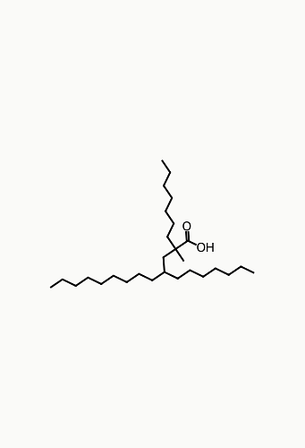 CCCCCCCCCC(CCCCCCC)CC(C)(CCCCCCC)C(=O)O